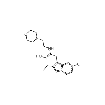 CCc1oc2ccc(Cl)cc2c1CC(=NO)NCCN1CCOCC1